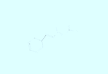 CC(=C\C(=O)C#N)/N=C/C1C=NC=CC1